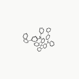 c1ccc(-c2ccc(N(c3ccccc3)c3ccc4c(c3)C3(c5ccccc5-4)c4ccccc4-c4c(N(c5ccccc5)c5ccc(-c6cccc7ccccc67)cc5)cccc43)cc2)cc1